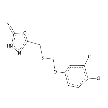 S=c1[nH]nc(CSCOc2ccc(Cl)c(Cl)c2)o1